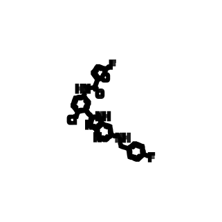 O=C(Nc1ccc(Cl)c(-c2nc3ncc(NCc4ccc(F)cc4)cc3[nH]2)c1)c1ccc(F)o1